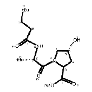 COC(=O)[C@@H]1C[C@@H](O)CN1C(=O)[C@@H](NC(=O)CCC(C)(C)C)C(C)(C)C